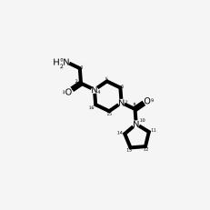 NCC(=O)N1CCN(C(=O)N2CCCC2)CC1